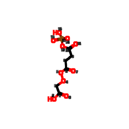 O=C(O)COOC(=O)CCC(=O)OS(=O)(=O)O